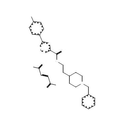 Cc1ccc(-c2nc(C(=O)NCCC3CCN(Cc4ccccc4)CC3)no2)cc1.O=C(O)C=CC(=O)O